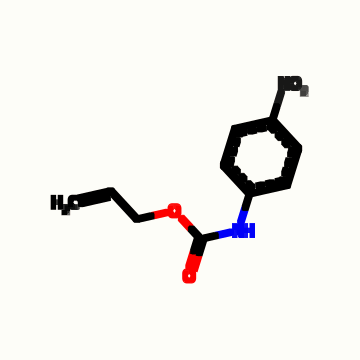 C=CCOC(=O)Nc1ccc([N+](=O)[O-])cc1